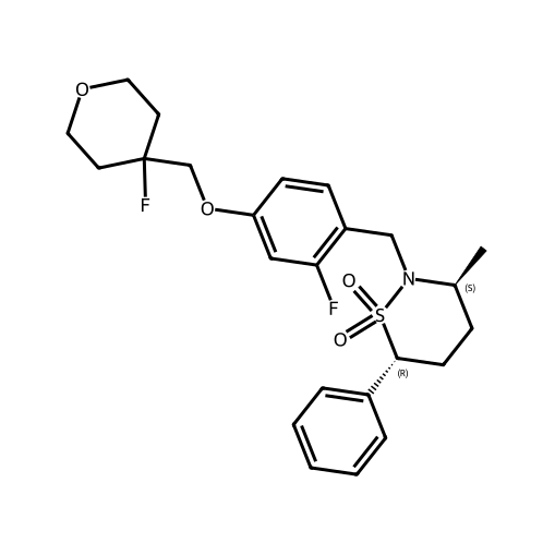 C[C@H]1CC[C@H](c2ccccc2)S(=O)(=O)N1Cc1ccc(OCC2(F)CCOCC2)cc1F